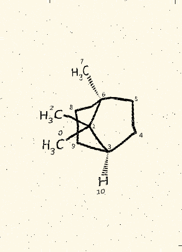 CC1(C)[C@H]2CC[C@]1(C)CC2